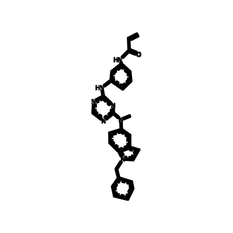 C=CC(=O)Nc1cccc(Nc2ncnc(N(C)c3ccc4c(ccn4Cc4ccccc4)c3)n2)c1